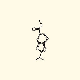 COC(=O)c1ccc2oc(C(C)C)nc2c1